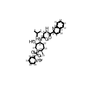 CC(C)C[C@H](NC(=O)c1ccc2ccccc2n1)C(=O)N[C@H]1CC[C@@H](C)N(S(=O)(=O)c2cccc[n+]2[O-])C[C@@H]1O